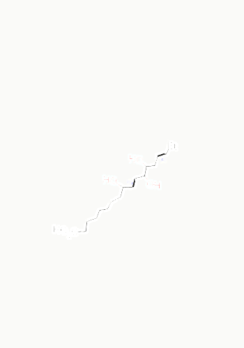 CC/C=C/CC(O)C(O)/C=C/C(O)CCCCCCCC(=O)O